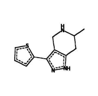 CC1Cc2[nH]nc(-c3cccs3)c2CN1